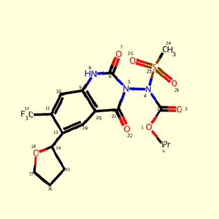 CC(C)OC(=O)N(n1c(=O)[nH]c2cc(C(F)(F)F)c(C3CCCO3)cc2c1=O)S(C)(=O)=O